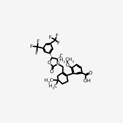 COc1ccc(C(=O)O)cc1C1=C(CN2C(=O)O[C@H](c3cc(C(F)(F)F)cc(C(F)(F)F)c3)[C@@H]2C)CC(C)(C)CC1